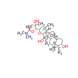 C[C@@H]1CC(C(OC(=O)N(C)C)C(C)(C)O)OC2[C@H]1C1(C)CCC34CC35CCC(O)C(C)(C)[C@@H]5CCC4[C@]1(C)[C@H]2O